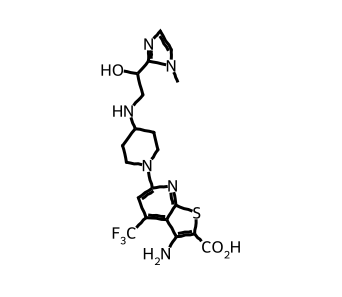 Cn1ccnc1C(O)CNC1CCN(c2cc(C(F)(F)F)c3c(N)c(C(=O)O)sc3n2)CC1